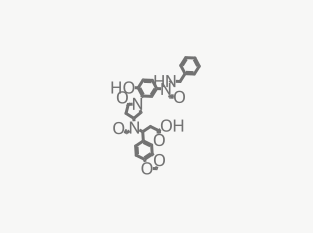 O=CN(NCc1ccccc1)c1ccc(O)c(N2CC(N(C=O)C(CC(=O)O)c3ccc4c(c3)OCO4)CC2=O)c1